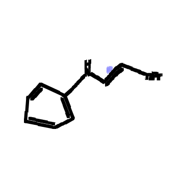 [CH2]CC/C=C/Nc1ccccc1